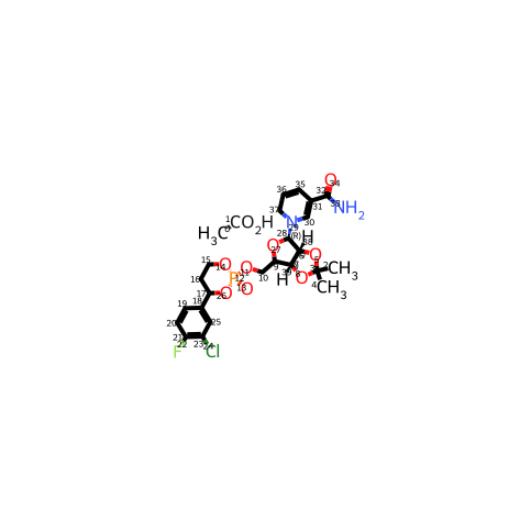 CC(=O)O.CC1(C)O[C@@H]2[C@H](O1)C(COP1(=O)OCCC(c3ccc(F)c(Cl)c3)O1)O[C@H]2N1C=C(C(N)=O)C=CC1